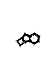 c1ccc2c(c1)cc1n2CC1